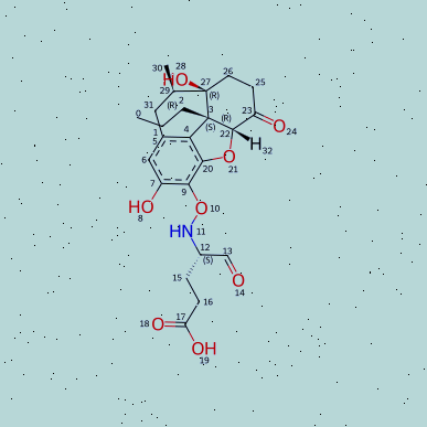 CCC[C@]12c3c4cc(O)c(ON[C@H](C=O)CCC(=O)O)c3O[C@H]1C(=O)CC[C@@]2(O)[C@H](C)C4